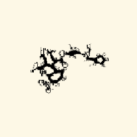 COC(=O)C1=C(C)NC(C)=C(C(=O)OCCN(C)Cc2ccccc2)C1c1cccc([N+](=O)[O-])c1F